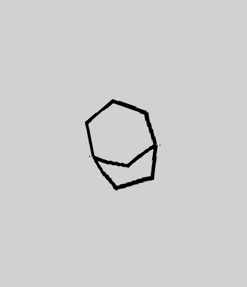 C1C[C]2CC[C](C1)C2